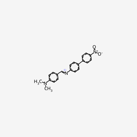 CN(C)c1ccc(/C=N/c2ccc(-c3ccc([N+](=O)[O-])cc3)cc2)cc1